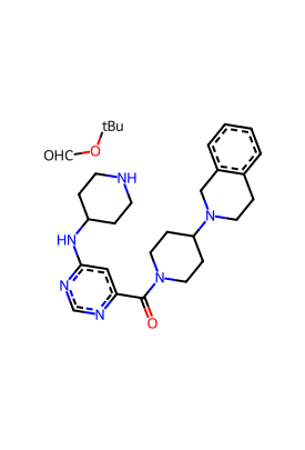 CC(C)(C)OC=O.O=C(c1cc(NC2CCNCC2)ncn1)N1CCC(N2CCc3ccccc3C2)CC1